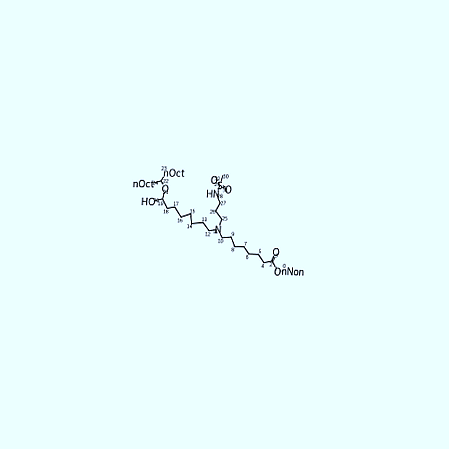 CCCCCCCCCOC(=O)CCCCCCCN(CCCCCCCC(O)OC(CCCCCCCC)CCCCCCCC)CCCNS(C)(=O)=O